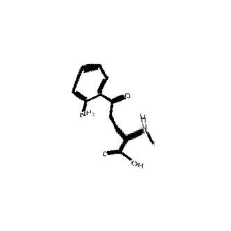 Nc1ccccc1C(=O)CC(NI)C(=O)O